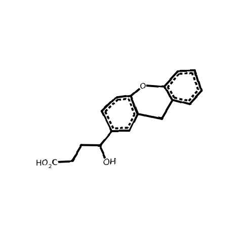 O=C(O)CCC(O)c1ccc2c(c1)Cc1ccccc1O2